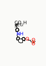 CC[C@]1(C(=O)O)C[C@H]1c1ccc(NCc2ccc3c(c2)-c2ccc(OCCCS(C)(=O)=O)cc2CCC3)cc1